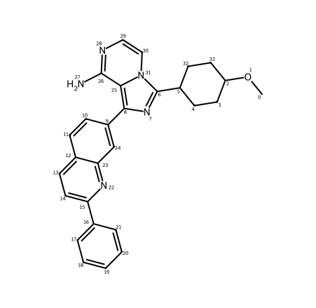 COC1CCC(c2nc(-c3ccc4ccc(-c5ccccc5)nc4c3)c3c(N)nccn23)CC1